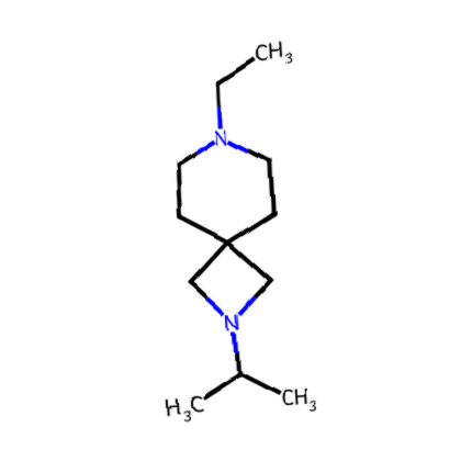 CCN1CCC2(CC1)CN(C(C)C)C2